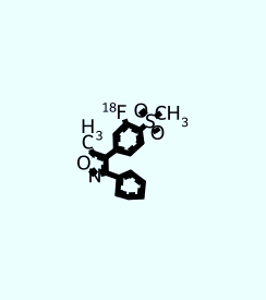 Cc1onc(-c2ccccc2)c1-c1ccc(S(C)(=O)=O)c([18F])c1